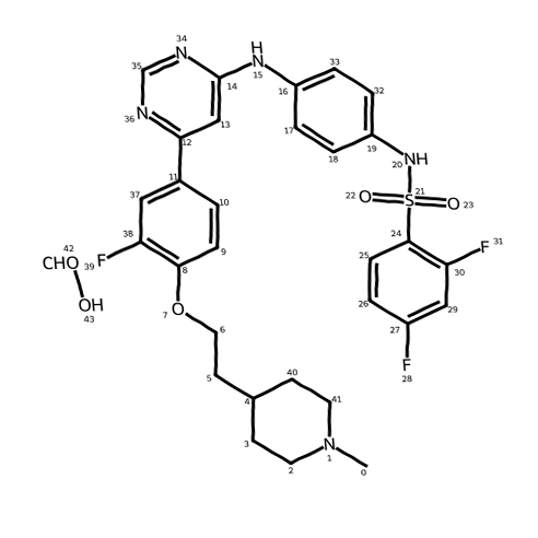 CN1CCC(CCOc2ccc(-c3cc(Nc4ccc(NS(=O)(=O)c5ccc(F)cc5F)cc4)ncn3)cc2F)CC1.O=CO